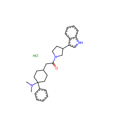 CN(C)C1(c2ccccc2)CCC(CC(=O)N2CCC(c3c[nH]c4ccccc34)C2)CC1.Cl